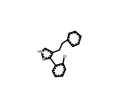 CCc1ccccc1-c1n[nH]cc1CCc1ccccc1